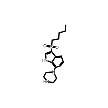 CCCCCS(=O)(=O)c1c[nH]c2c(N3CCNCC3)cccc12